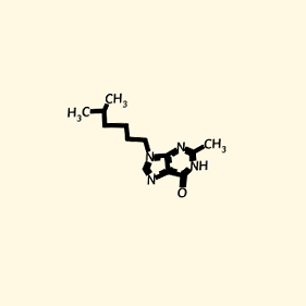 Cc1nc2c(ncn2CCCCC(C)C)c(=O)[nH]1